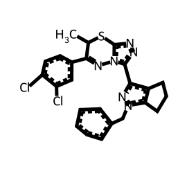 CC1Sc2nnc(-c3nn(Cc4ccccc4)c4c3CCC4)n2N=C1c1ccc(Cl)c(Cl)c1